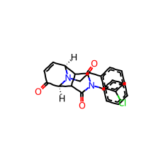 O=C1C=C[C@H]2C3C(=O)N(c4ccccc4)C(=O)C3[C@@H]1N2CCc1cccc(Cl)c1